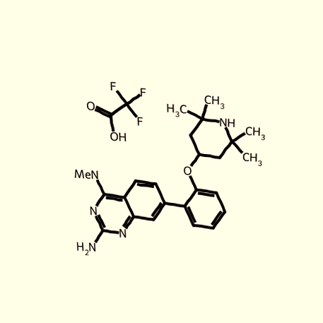 CNc1nc(N)nc2cc(-c3ccccc3OC3CC(C)(C)NC(C)(C)C3)ccc12.O=C(O)C(F)(F)F